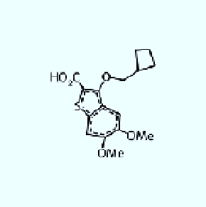 COc1cc2sc(C(=O)O)c(OCC3CCC3)c2cc1OC